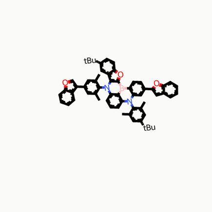 Cc1cc(C(C)(C)C)cc(C)c1N1c2cc(-c3cc4ccccc4o3)ccc2B2c3oc4ccc(C(C)(C)C)cc4c3N(c3c(C)cc(-c4coc5ccccc45)cc3C)c3cccc1c32